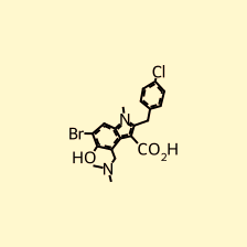 CN(C)Cc1c(O)c(Br)cc2c1c(C(=O)O)c(Cc1ccc(Cl)cc1)n2C